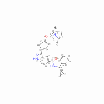 CN1[C@@H]2CC[C@H]1C[C@H](Oc1ccc(-c3n[nH]c4ccc(C(=O)NC(c5ccccc5F)C5CC5)cc34)cc1)C2